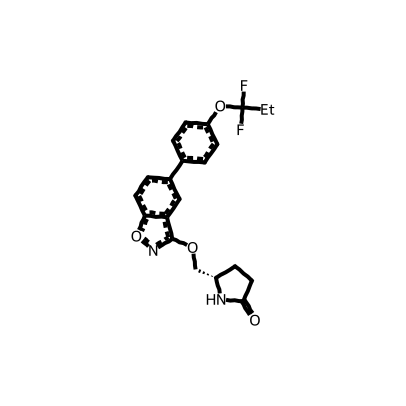 CCC(F)(F)Oc1ccc(-c2ccc3onc(OC[C@@H]4CCC(=O)N4)c3c2)cc1